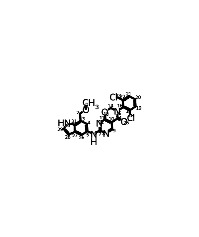 COCc1cc(Nc2ncc3c(n2)OCN(c2c(Cl)cccc2Cl)C3=O)cc2cc[nH]c12